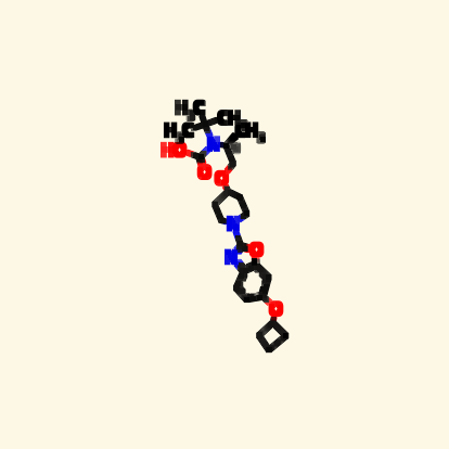 C[C@@H](COC1CCN(c2nc3ccc(OC4CCC4)cc3o2)CC1)N(C(=O)O)C(C)(C)C